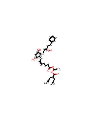 C#CCC(CC#C)C(=O)OC(C)OC(=O)CCC/C=C\C[C@@H]1[C@@H](CC[C@@H](O)CCc2ccccc2)[C@H](O)C[C@@H]1O